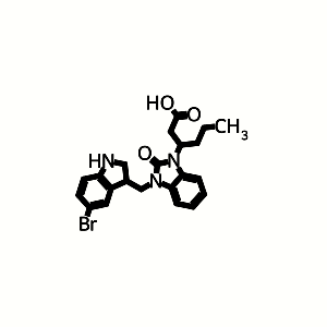 CCCC(CC(=O)O)n1c(=O)n(CC2CNc3ccc(Br)cc32)c2ccccc21